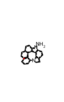 Nn1c2ccc3ccccc3c2c2c3c(ccc21)ccn3-c1ccccc1